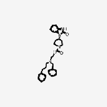 O=C(OCCN(CCCc1ccccc1)Cc1ccccc1)N1CCC(n2c(=O)[nH]c3ccccc32)CC1